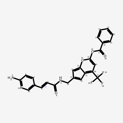 Nc1ccc(/C=C/C(=O)NCc2cc3oc(OC(=O)c4ccccc4)cc(C(F)(F)F)c-3c2)cn1